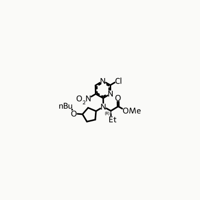 CCCCOC1CCC(N(c2nc(Cl)ncc2[N+](=O)[O-])[C@H](CC)C(=O)OC)C1